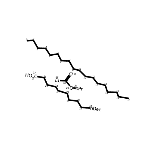 CCCCCCCCCCCCCCCCCC.CCCCCCCCCCCCCCCCCCC(=O)O.CCCOC(=O)CC